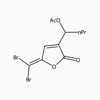 CCCC(OC(C)=O)C1=CC(=C(Br)Br)OC1=O